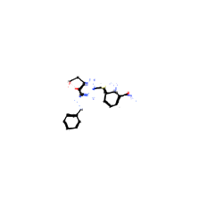 NC(=O)c1cccc2c(-c3nc4c(c(NCc5ccccc5)n3)OCC4)snc12